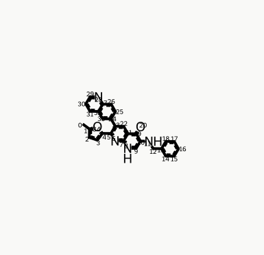 Cc1ccc(-c2nc3[nH]cc(NCc4ccccc4)c(=O)c3cc2-c2ccc3ncccc3c2)o1